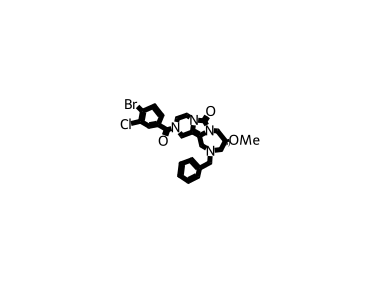 CO[C@H]1CN(Cc2ccccc2)Cc2c3n(c(=O)n2C1)CCN(C(=O)c1ccc(Br)c(Cl)c1)C3